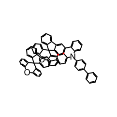 c1ccc(-c2ccc(N(c3ccc(-c4ccc5c(c4)-c4ccccc4C54c5ccccc5Oc5ccccc54)cc3)c3ccccc3-c3ccc4c(c3)-c3ccccc3C43c4ccccc4Oc4ccccc43)cc2)cc1